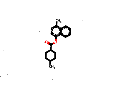 Cc1ccc(OC(=O)C2CCC(C)CC2)c2ccccc12